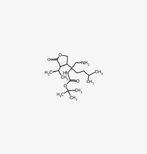 CC(C)CCC(CN)(NC(=O)OC(C)(C)C)C1COC(=O)C1C(C)C